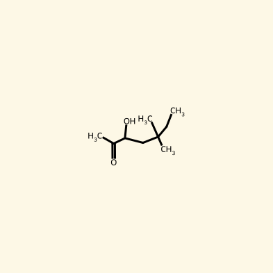 CCC(C)(C)CC(O)C(C)=O